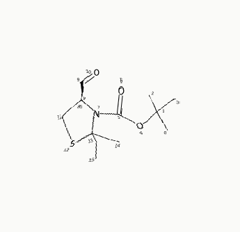 CC(C)(C)OC(=O)N1[C@H](C=O)CSC1(C)C